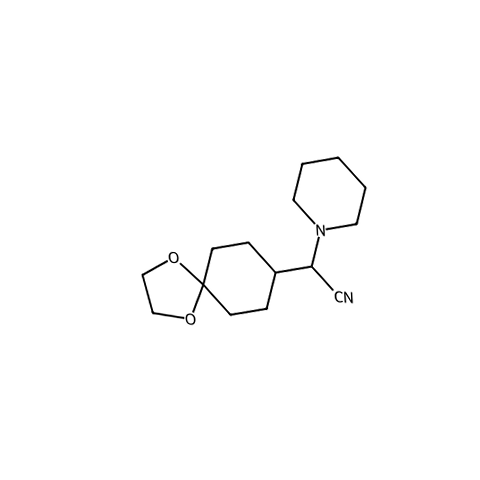 N#CC(C1CCC2(CC1)OCCO2)N1CCCCC1